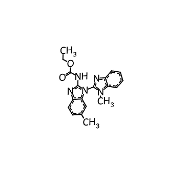 CCOC(=O)Nc1nc2ccc(C)cc2n1-c1nc2ccccc2n1C